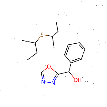 CCC(C)SC(C)CC.OC(c1ccccc1)c1nnco1